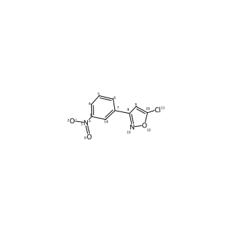 O=[N+]([O-])c1cccc(-c2cc(Cl)on2)c1